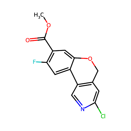 COC(=O)c1cc2c(cc1F)-c1cnc(Cl)cc1CO2